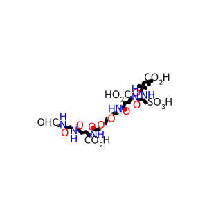 CC(C)(CC(C)(C)C(=O)NC(CS(=O)(=O)O)C(=O)NC(CCC(=O)NCCOCCOCC(=O)NC(CCC(=O)NCC(=O)NCC=O)C(=O)O)C(=O)O)C(=O)O